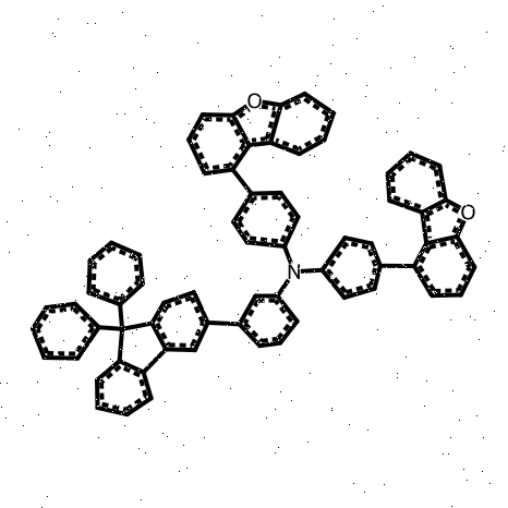 c1ccc(C2(c3ccccc3)c3ccccc3-c3cc(-c4cccc(N(c5ccc(-c6cccc7oc8ccccc8c67)cc5)c5ccc(-c6cccc7oc8ccccc8c67)cc5)c4)ccc32)cc1